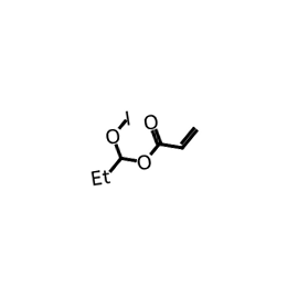 C=CC(=O)OC(CC)OI